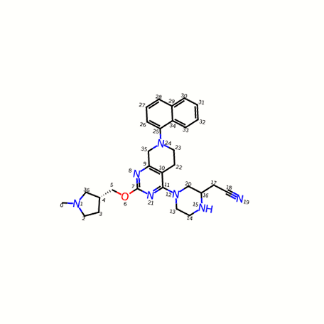 CN1CC[C@@H](COc2nc3c(c(N4CCNC(CC#N)C4)n2)CCN(c2cccc4ccccc24)C3)C1